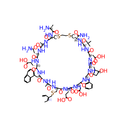 C=C/C(=C\C)CSC[C@H]1NC(=O)[C@@H](C)NC(=O)[C@H](Cc2cccc3ccccc23)NC(=O)[C@H](CCC(=O)O)NC(=O)[C@H](CC(N)=O)NC(=O)[C@@H](C)NC(=O)[C@@H](NC(=O)[C@H](C)N)CSCCSC[C@@H](C(N)=O)NC(=O)[C@H](C(C)(C)C)NC(=O)[C@H](CC(=O)O)NC(=O)[C@H](CC2CC[C@H]2O)NC(=O)[C@H](Cc2ccccc2)NC(=O)[C@H](CC(=O)O)NC(=O)[C@H](CCC(=O)O)NC1=O